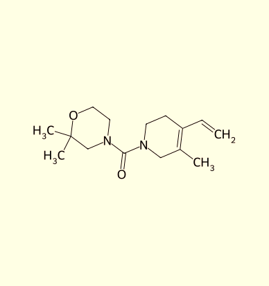 C=CC1=C(C)CN(C(=O)N2CCOC(C)(C)C2)CC1